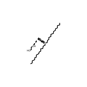 C=C.C=C.C=C.C=C.C=C.C=C.C=C.C=C.CCCCCCCCCCCCCCOCCCCCCCCCCCCCC.OCCO